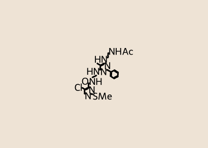 CSc1ncc(Cl)c(C(=O)NCCNc2nc(-c3ccccc3)nc(NCCNC(C)=O)c2C)n1